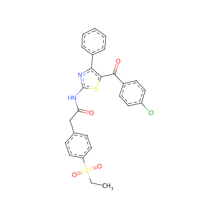 CCS(=O)(=O)c1ccc(CC(=O)Nc2nc(-c3ccccc3)c(C(=O)c3ccc(Cl)cc3)s2)cc1